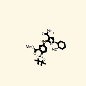 COC(=O)c1cc(Nc2nn(C3CCCC[C@@H]3C#N)cc2C(N)=O)ccc1B1OC(C)(C)C(C)(C)O1